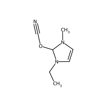 CCN1C=CN(C)C1OC#N